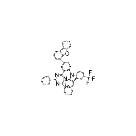 FC(F)(F)c1ccc2c(c1)c1ccccc1n2-c1ccc(-c2cccc3c2oc2ccccc23)cc1-c1nc(-c2ccccc2)nc(-c2ccccc2)n1